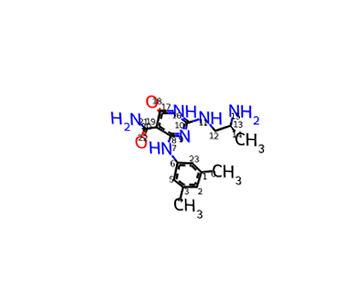 Cc1cc(C)cc(Nc2nc(NC[C@H](C)N)[nH]c(=O)c2C(N)=O)c1